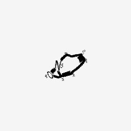 [C]1=CC=C2ON2C1